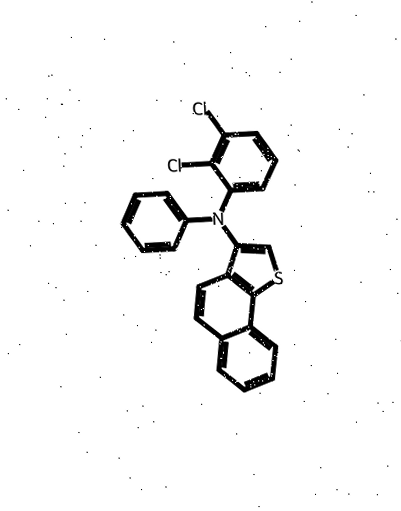 Clc1cccc(N(c2ccccc2)c2csc3c2ccc2ccccc23)c1Cl